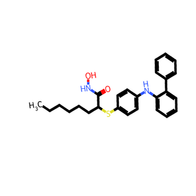 CCCCCCC(Sc1ccc(Nc2ccccc2-c2ccccc2)cc1)C(=O)NO